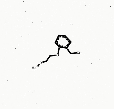 COCCOc1ccccc1CO